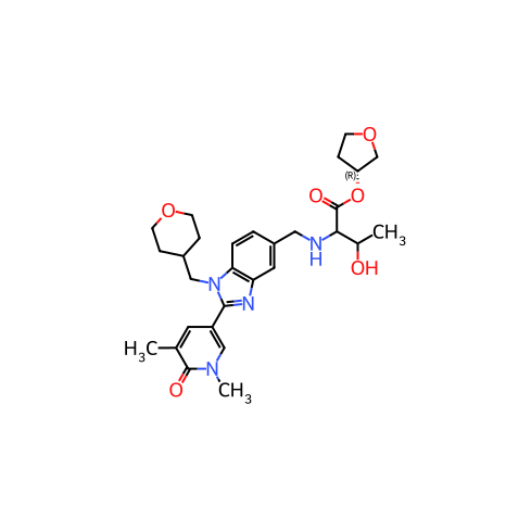 Cc1cc(-c2nc3cc(CNC(C(=O)O[C@@H]4CCOC4)C(C)O)ccc3n2CC2CCOCC2)cn(C)c1=O